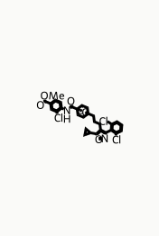 COC(=O)c1ccc(NC(=O)C23CCC(CCCc4c(-c5c(Cl)cccc5Cl)noc4C4CC4)(CC2)CC3)c(Cl)c1